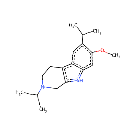 COc1cc2[nH]c3c(c2cc1C(C)C)CCN(C(C)C)C3